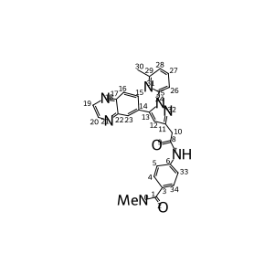 CNC(=O)c1ccc(NC(=O)Cc2cc(-c3ccc4nccnc4c3)n(-c3cccc(C)n3)n2)cc1